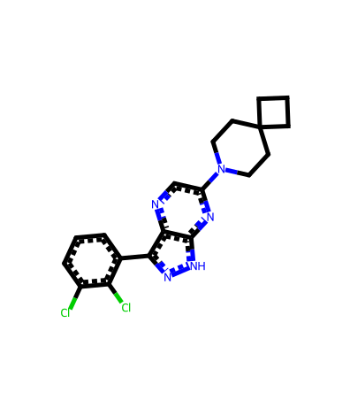 Clc1cccc(-c2n[nH]c3nc(N4CCC5(CCC5)CC4)cnc23)c1Cl